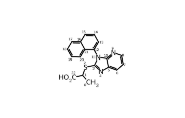 CC(Sc1nc2cccnc2n1-c1cccc2ccccc12)C(=O)O